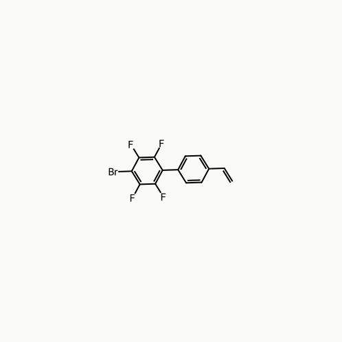 C=Cc1ccc(-c2c(F)c(F)c(Br)c(F)c2F)cc1